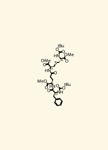 COC(=O)[C@H](CSC[C@@H](NC(=O)CC[C@@H](NC(=O)[C@H](Cc1ccccc1)NC(=O)OC(C)(C)C)C(=O)OC)C(=O)OC)NC(=O)OC(C)(C)C